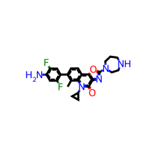 Cc1c(-c2cc(F)c(N)cc2F)ccc2c3oc(N4CCCNCC4)nc3c(=O)n(C3CC3)c12